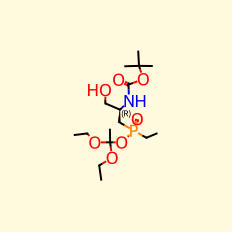 CCOC(C)(OCC)OP(=O)(CC)C[C@@H](CO)NC(=O)OC(C)(C)C